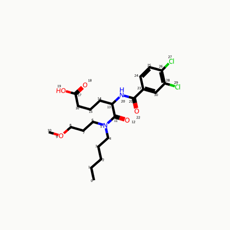 CCCCCN(CCCOC)C(=O)C(CCCC(=O)O)NC(=O)c1ccc(Cl)c(Cl)c1